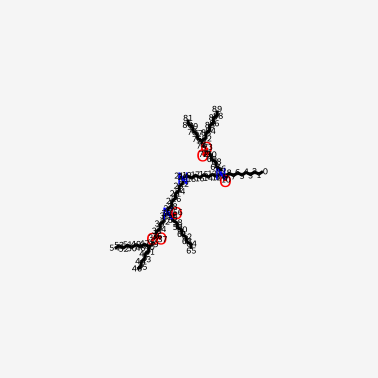 CCCCCCCCCC(=O)N(CCCCCCCCN(C)CCCCCCCCN(CCCCCC(=O)OCC(CCCCCC)CCCCCCCC)C(=O)CCCCCCCCC)CCCCCC(=O)OCC(CCCCCC)CCCCCCCC